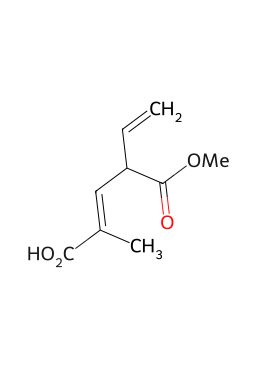 C=CC(C=C(C)C(=O)O)C(=O)OC